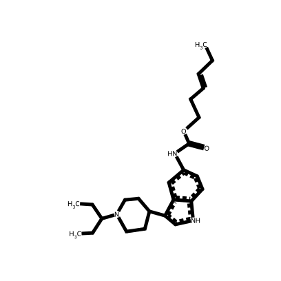 CCC=CCCOC(=O)Nc1ccc2[nH]cc(C3CCN(C(CC)CC)CC3)c2c1